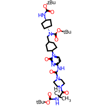 CC(C)(C)OC(=O)NC(C)(C)C(=O)N1CCN(C(=O)Nc2ccn(C3CCC(CN(C(=O)OC(C)(C)C)[C@H]4CC[C@H](NC(=O)OC(C)(C)C)CC4)CC3)c(=O)n2)CC1